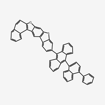 c1ccc(-c2ccc(-c3c4ccccc4c(-c4ccc5c(c4)sc4cc6oc7ccc8ccccc8c7c6cc45)c4ccccc34)c3ccccc23)cc1